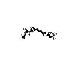 CN/C(=C\[N+](=O)[O-])NCCCCCc1csc(N/C(N)=N\CC(F)(F)F)n1